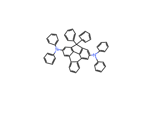 c1ccc(N(c2ccccc2)c2cc3c4c(c2)c2ccccc2c2cc(N(c5ccccc5)c5ccccc5)cc(c24)C3(c2ccccc2)c2ccccc2)cc1